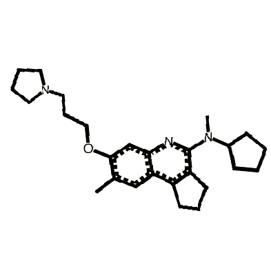 Cc1cc2c3c(c(N(C)C4CCCC4)nc2cc1OCCCN1CCCC1)CCC3